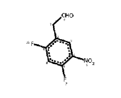 O=CCc1cc([N+](=O)[O-])c(F)cc1F